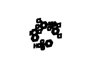 O=S(=O)(Nc1cc(Cl)c(Oc2cnc3ccccc3c2)c(Cl)c1)c1ccc(Cl)cc1Cl.O=S(=O)(O)c1ccccc1